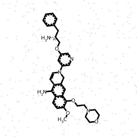 COc1ccc2c(N)c3c(cc2c1OCCN1CCOCC1)CN(c1cncc(OC[C@H](N)Cc2ccccc2)c1)C=C3